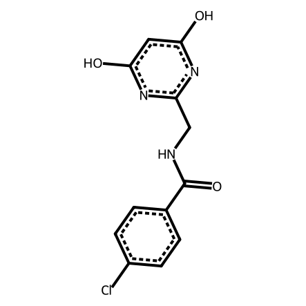 O=C(NCc1nc(O)cc(O)n1)c1ccc(Cl)cc1